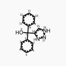 OC(c1ccccc1)(c1ccccc1)c1c[nH]nn1